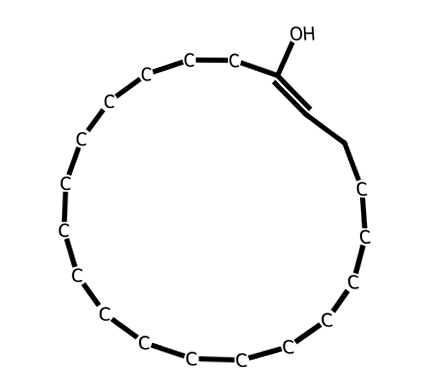 O/C1=C\CCCCCCCCCCCCCCCCCC1